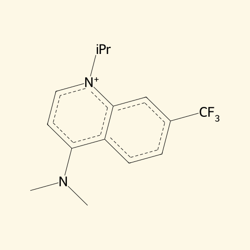 CC(C)[n+]1ccc(N(C)C)c2ccc(C(F)(F)F)cc21